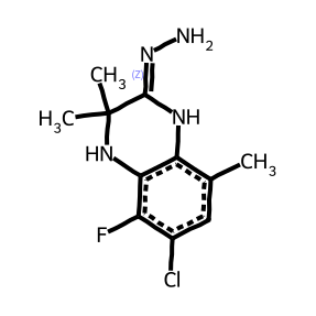 Cc1cc(Cl)c(F)c2c1N/C(=N\N)C(C)(C)N2